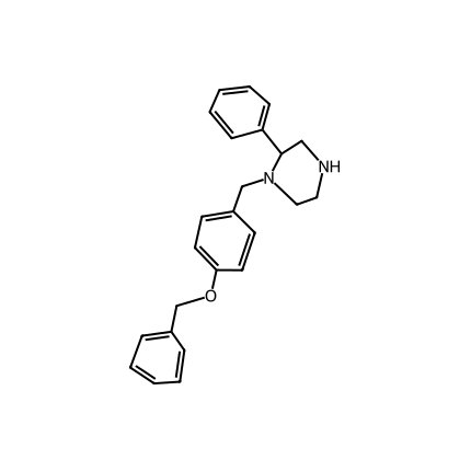 c1ccc(COc2ccc(CN3CCNCC3c3ccccc3)cc2)cc1